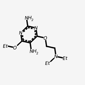 CCOc1nc(N)nc(OCCN(CC)CC)c1N